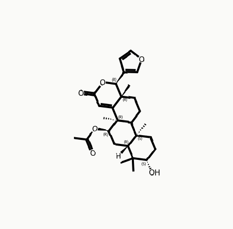 CC(=O)O[C@@H]1C[C@H]2C(C)(C)[C@@H](O)CC[C@]2(C)C2CC[C@]3(C)C(=CC(=O)O[C@H]3c3ccoc3)[C@@]21C